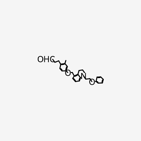 Cc1cc(OCc2cccc3c2CCCN3CCOc2ccccc2)ccc1CCC=O